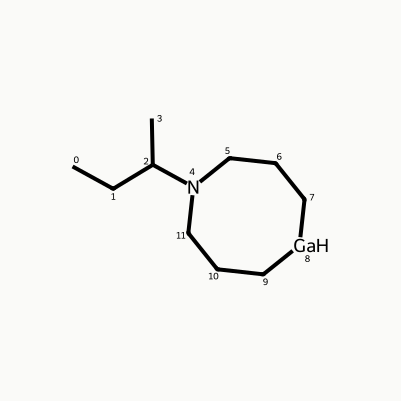 CCC(C)N1CC[CH2][GaH][CH2]CC1